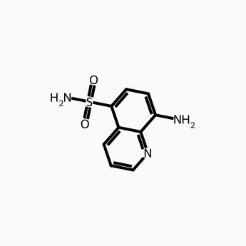 Nc1ccc(S(N)(=O)=O)c2cccnc12